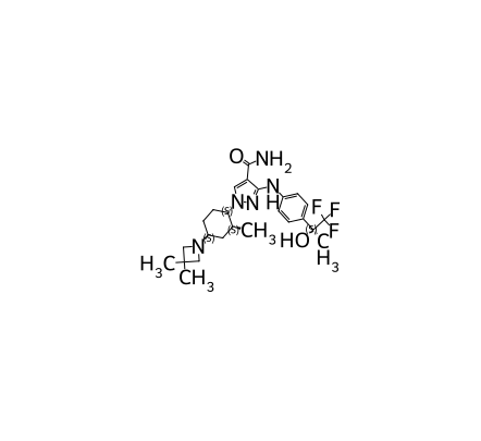 C[C@H]1C[C@@H](N2CC(C)(C)C2)CC[C@@H]1n1cc(C(N)=O)c(Nc2ccc([C@](C)(O)C(F)(F)F)cc2)n1